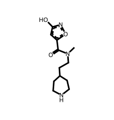 CN(CCC1CCNCC1)C(=O)c1cc(O)no1